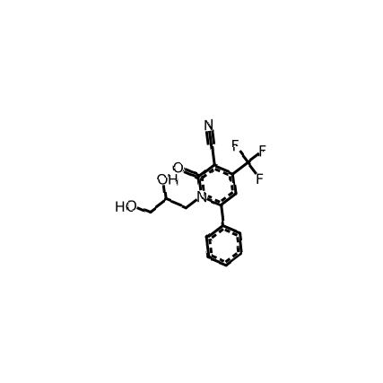 N#Cc1c(C(F)(F)F)cc(-c2ccccc2)n(CC(O)CO)c1=O